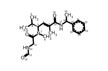 C/C(=C\[C@H](C(C)C)N(C)C(=O)CNC=O)C(=O)NC(C)c1ccccc1